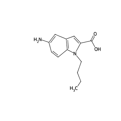 CCCCn1c(C(=O)O)cc2cc(N)ccc21